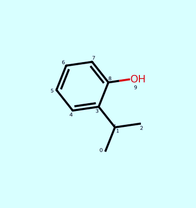 C[C](C)c1ccccc1O